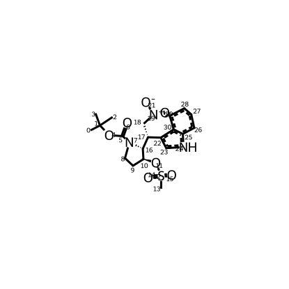 CC(C)(C)OC(=O)N1CC[C@H](OS(C)(=O)=O)[C@H]1[C@H](C[N+](=O)[O-])c1c[nH]c2ccccc12